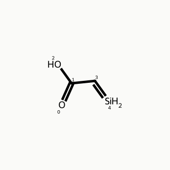 O=C(O)C=[SiH2]